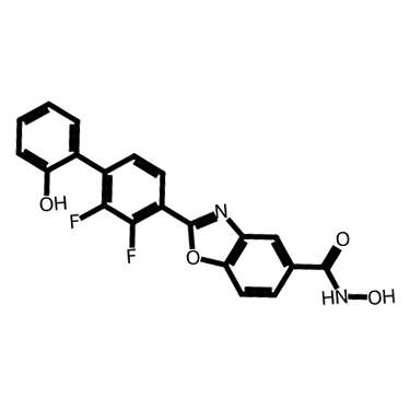 O=C(NO)c1ccc2oc(-c3ccc(-c4ccccc4O)c(F)c3F)nc2c1